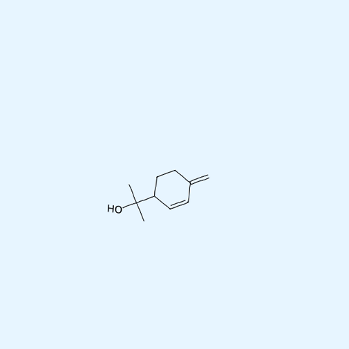 C=C1C=CC(C(C)(C)O)CC1